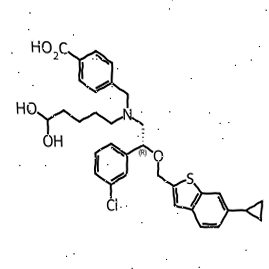 O=C(O)c1ccc(CN(CCCCC(O)O)C[C@H](OCc2cc3ccc(C4CC4)cc3s2)c2cccc(Cl)c2)cc1